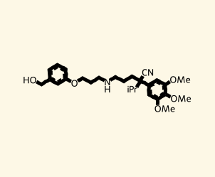 COc1cc(C(C#N)(CCCNCCCOc2cccc(CO)c2)C(C)C)cc(OC)c1OC